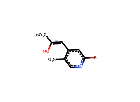 O=C(O)/C(O)=C/c1cc(Br)ncc1[N+](=O)[O-]